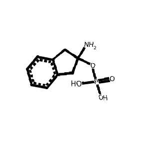 NC1(OP(=O)(O)O)Cc2ccccc2C1